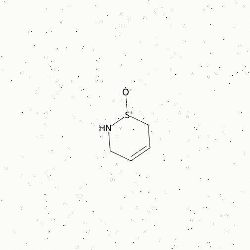 [O-][S+]1CC=CCN1